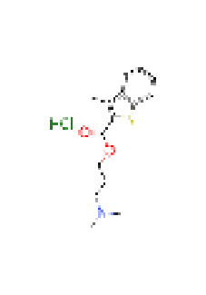 Cc1c(C(=O)OCCCN(C)C)sc2ccccc12.Cl